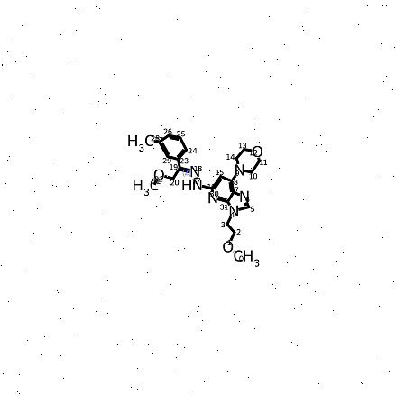 COCCn1cnc2c(N3CCOCC3)cc(N/N=C(\COC)c3cccc(C)c3)nc21